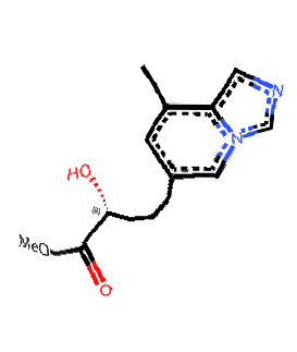 COC(=O)[C@H](O)Cc1cc(C)c2cncn2c1